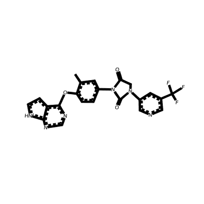 Cc1cc(N2C(=O)CN(c3cncc(C(F)(F)F)c3)C2=O)ccc1Oc1ncnc2[nH]ccc12